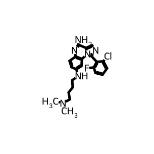 CN(C)CCCCNc1ccc2nc(N)c3cnc(-c4c(F)cccc4Cl)n3c2c1